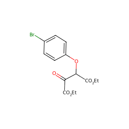 CCOC(=O)C(=O)C(Oc1ccc(Br)cc1)C(=O)OCC